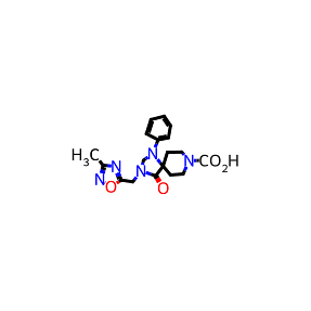 Cc1noc(CN2CN(c3ccccc3)C3(CCN(C(=O)O)CC3)C2=O)n1